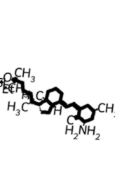 C=C1/C(=C\C=C2/CCC[C@]3(C)[C@@H]([C@H](C)CCCC(C)(C)O[Si](CC)(CC)CC)CC[C@@H]23)C[C@@H](C)C[C@@H]1N